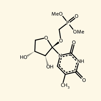 COP(=O)(CO[C@]1(n2cc(C)c(=O)[nH]c2=O)OC[C@@H](O)[C@H]1O)OC